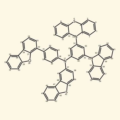 c1ccc2c(c1)Sc1ccccc1N2c1cc(N(c2ccc(-c3cccc4c3oc3ccccc34)cc2)c2ccc3sc4ccccc4c3c2)cc(-n2c3ccccc3c3ccccc32)c1